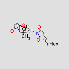 CCCCCC/C=C/C1CC(=O)N(CCC(C)CC(C)(C)CN2C(=O)C=CC2=O)C1=O